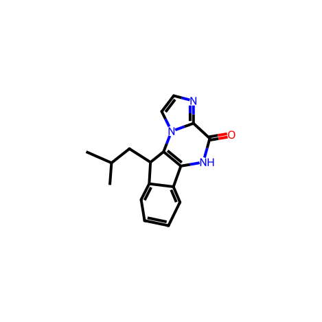 CC(C)CC1c2ccccc2-c2[nH]c(=O)c3nccn3c21